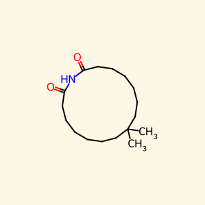 CC1(C)CCCCCCC(=O)NC(=O)CCCCCC1